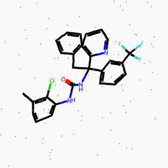 Cc1cccc(NC(=O)NC(Cc2ccccc2)(c2cccc(C(F)(F)F)c2)c2ccccn2)c1Cl